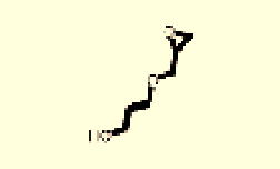 OCC=COCC1CO1